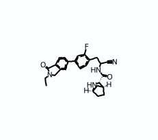 CCN1Cc2cc(-c3ccc(CC(C#N)NC(=O)[C@H]4N[C@@H]5CC[C@H]4C5)c(F)c3)ccc2C1=O